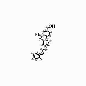 CCC(=O)c1cc(CO)ccc1N1CCN(CCOc2ccccc2F)CC1